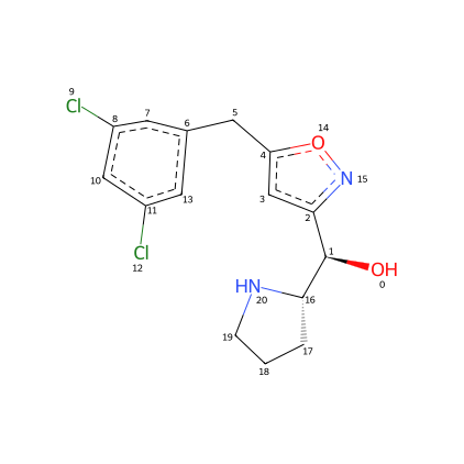 O[C@H](c1cc(Cc2cc(Cl)cc(Cl)c2)on1)[C@@H]1CCCN1